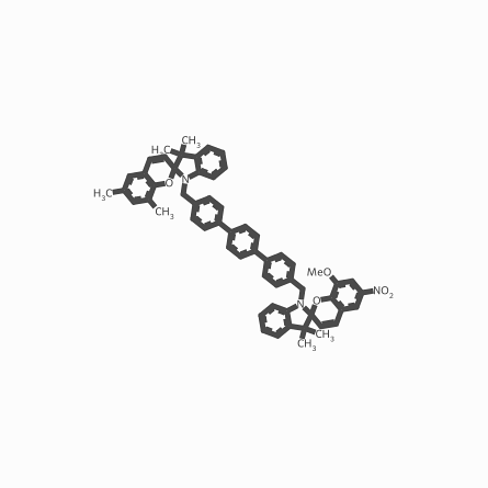 COc1cc([N+](=O)[O-])cc2c1OC1(C=C2)N(Cc2ccc(-c3ccc(-c4ccc(CN5c6ccccc6C(C)(C)C56C=Cc5cc(C)cc(C)c5O6)cc4)cc3)cc2)c2ccccc2C1(C)C